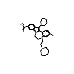 O=C(O)c1ccc2c(C3CCCCC3)c3n(c2c1)CCN(CCN1CCCCCC1)c1cc(Cl)ccc1-3